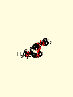 C=C(C)C(=O)OC(C)(CCC)c1ccc(OC2CCCC(COC(=O)C34CC5CC(CC(OCC(=O)OC6(CC)CCCC6)(C5)C3)C4)O2)cc1